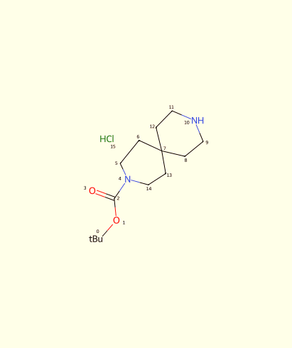 CC(C)(C)OC(=O)N1CCC2(CCNCC2)CC1.Cl